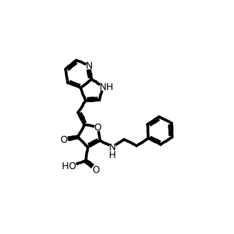 O=C(O)C1=C(NCCc2ccccc2)OC(=Cc2c[nH]c3ncccc23)C1=O